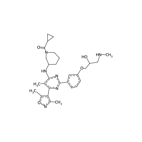 CNCC(O)COc1cccc(-c2nc(NC3CCCN(C(=O)C4CC4)C3)c(C)c(-c3c(C)noc3C)n2)c1